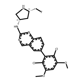 COc1cc(OC)c(Cl)c(-c2ccc3nc(N[C@@H]4CN[C@H](CF)C4)ncc3c2)c1Cl